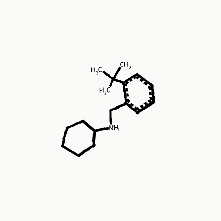 CC(C)(C)c1ccccc1CNC1CCCCC1